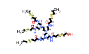 CCCSSCCC(=O)NCCN(CCNC(=O)CCSSCCO)CCN(CCNC(=O)CCSSCCC)CCN(CCNC(=O)CCSSCC)CCNC(=O)CSSCC